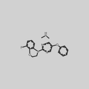 CNC.Fc1cccc2c1OCCN2c1ncc(Oc2ccccc2)cn1